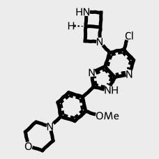 COc1cc(N2CCOCC2)ccc1-c1nc2c(N3C[C@H]4NCC43)c(Cl)cnc2[nH]1